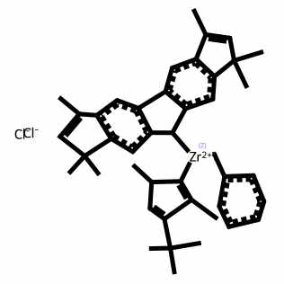 CC1=CC(C)(C)c2cc3c(cc21)-c1cc2c(cc1[CH]3/[Zr+2](=[CH]/c1ccccc1)[C]1=C(C)C(C(C)(C)C)=CC1C)C(C)(C)C=C2C.[Cl-].[Cl-]